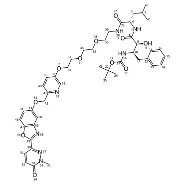 CC(C)C[C@H](NC(=O)[C@@H](O)[C@@H](Cc1ccccc1)NC(=O)OC(C)(C)C)C(=O)NCCOCCOCCOc1ccc(COc2ccc3oc(-c4ccc(=O)n(C)n4)nc3c2)nc1